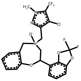 Cn1nc(C[N+]2([O-])Cc3ccccc3OC(c3cccc4c3OC(F)(F)O4)C2)c(Cl)c1C(F)(F)F